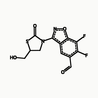 O=Cc1cc2c(N3CC(CO)SC3=O)noc2c(F)c1F